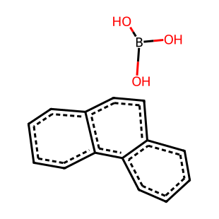 OB(O)O.c1ccc2c(c1)ccc1ccccc12